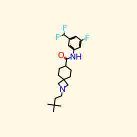 CC(C)(C)CCN1CC2(CCC(C(=O)Nc3cc(F)cc(C(F)F)c3)CC2)C1